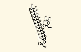 C=CC(=O)OC(F)(F)C(F)(F)C(F)(F)C(F)(F)C(F)(F)C(F)(F)C(F)(F)C(F)(F)C(F)(F)C(F)(F)C(F)(F)C(F)(F)F.C=CC(=O)OC(F)(F)F